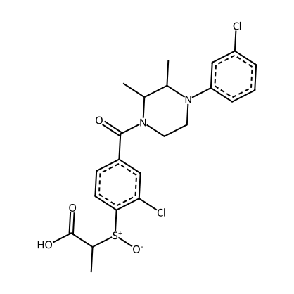 CC1C(C)N(c2cccc(Cl)c2)CCN1C(=O)c1ccc([S+]([O-])C(C)C(=O)O)c(Cl)c1